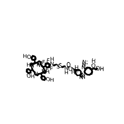 [N-]=[N+]=Nc1ccc(C(O)CO)ccccc(-n2nnc3c2CC[C@@H]2[C@H](CC3)[C@H]2COC(=O)NCCSSCCNc2c(F)c(F)c(-c3c4nc(c(-c5cccc(O)c5)c5ccc([nH]5)c(-c5cccc(O)c5)c5nc(c(-c6cccc(O)c6)c6ccc3[nH]6)C=C5)C=C4)c(F)c2F)c1